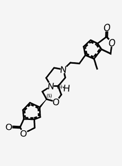 Cc1c(CCN2CCN3C[C@H](c4ccc5c(c4)COC5=O)OC[C@@H]3C2)ccc2c1COC2=O